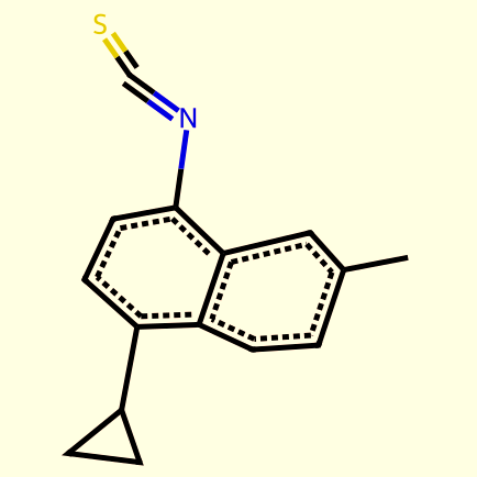 Cc1ccc2c(C3CC3)ccc(N=C=S)c2c1